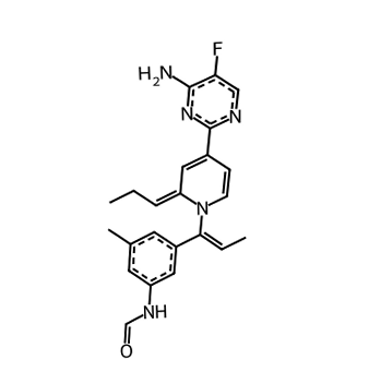 C/C=C(/c1cc(C)cc(NC=O)c1)N1C=CC(c2ncc(F)c(N)n2)=C/C1=C\CC